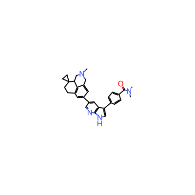 CN1Cc2cc(-c3cnc4[nH]cc(-c5ccc(C(=O)N(C)C)cc5)c4c3)cc3c2C(C1)C1(CC3)CC1